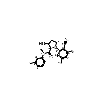 Cc1cccc(N(C)C(=O)C2C(O)CCN2c2nc(C)cc(C)c2C#N)c1